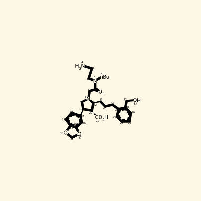 CCCCN(CCN)C(=O)CN1C[C@H](c2ccc3c(c2)OCO3)[C@@H](C(=O)O)[C@@H]1CCCc1ccccc1CO